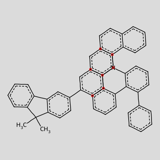 CC1(C)c2ccccc2-c2cc(-c3ccc(N(c4cccc(-c5ccccc5)c4-c4ccccc4-c4ccccc4)c4cccc5ccccc45)cc3)ccc21